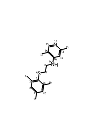 Cc1cc(C)c(SCCNc2cc(C)ncc2C)c(C)c1